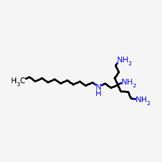 CCCCCCCCCCCCNCCC(N)(CCCN)CCCN